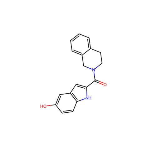 O=C(c1cc2cc(O)ccc2[nH]1)N1CCc2ccccc2C1